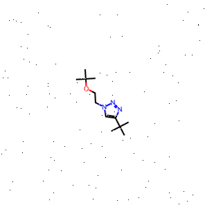 CC(C)(C)OCCn1cc(C(C)(C)C)nn1